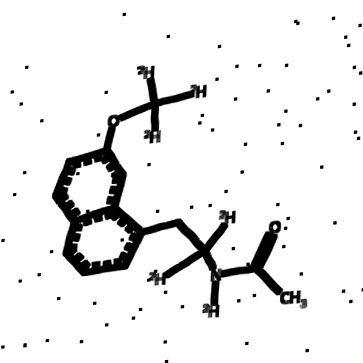 [2H]N(C(C)=O)C([2H])([2H])Cc1cccc2ccc(OC([2H])([2H])[2H])cc12